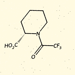 O=C(O)[C@@H]1CCCCN1C(=O)C(F)(F)F